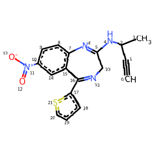 C#CC(C)NC1=Nc2ccc([N+](=O)[O-])cc2C(c2cccs2)=NC1